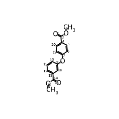 COC(=O)c1ccc(Oc2cccc(C(=O)OC)c2)cc1